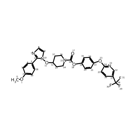 COc1ccc(-c2nccn2OC2CCN(C(=O)Oc3ccc(Oc4ccc(C(F)(F)F)cn4)cc3)CC2)cc1